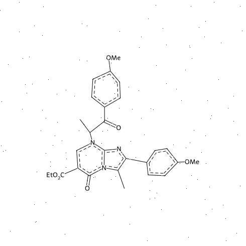 CCOC(=O)c1cn(C(C)C(=O)c2ccc(OC)cc2)c2nc(-c3ccc(OC)cc3)c(C)n2c1=O